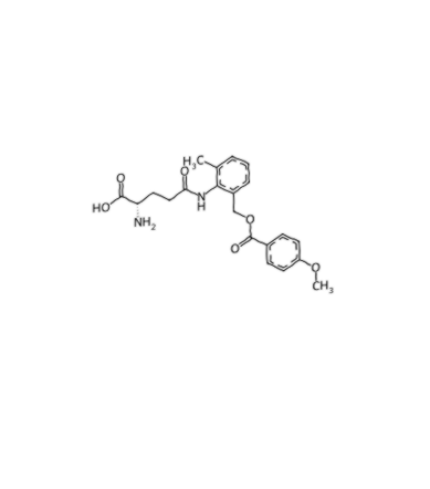 COc1ccc(C(=O)OCc2cccc(C)c2NC(=O)CC[C@H](N)C(=O)O)cc1